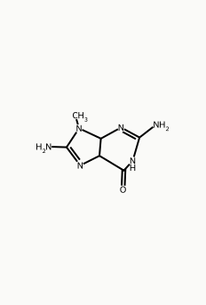 CN1C(N)=NC2C(=O)NC(N)=NC21